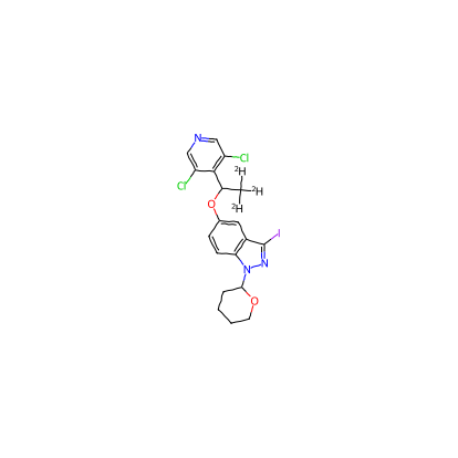 [2H]C([2H])([2H])C(Oc1ccc2c(c1)c(I)nn2C1CCCCO1)c1c(Cl)cncc1Cl